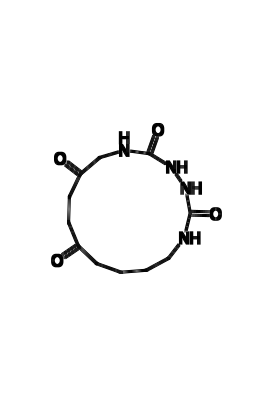 O=C1CCCCNC(=O)NNC(=O)NCC(=O)CC1